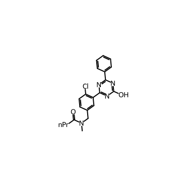 CCCC(=O)N(C)Cc1ccc(Cl)c(-c2nc(O)nc(-c3ccccc3)n2)c1